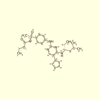 CCOC(=O)N=S(C)(=O)c1ccc(Nc2ncc(-c3ccsc3)c(N[C@H](CO)CC(C)C)n2)cc1